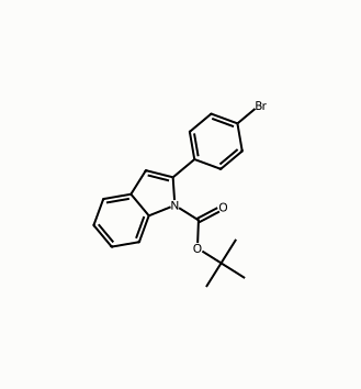 CC(C)(C)OC(=O)n1c(-c2ccc(Br)cc2)cc2ccccc21